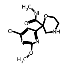 CNC(=O)C1(c2cc(Cl)nc(OC)n2)CNCCO1